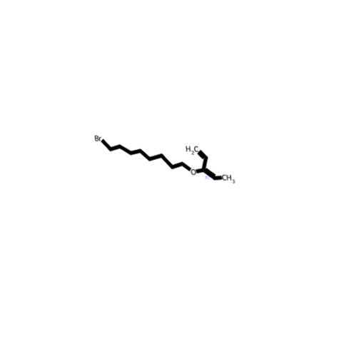 C=C/C(=C\C)OCCCCCCCCBr